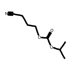 CC(C)OC(=O)OCCCC#N